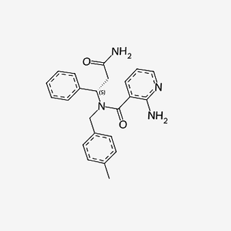 Cc1ccc(CN(C(=O)c2cccnc2N)[C@@H](CC(N)=O)c2ccccc2)cc1